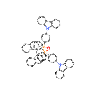 O=P(c1ccccc1)(c1ccc(-n2c3ccccc3c3ccccc32)cc1)c1ccc2ccccc2c1-c1c(P(=O)(c2ccccc2)c2ccc(-n3c4ccccc4c4ccccc43)cc2)ccc2ccccc12